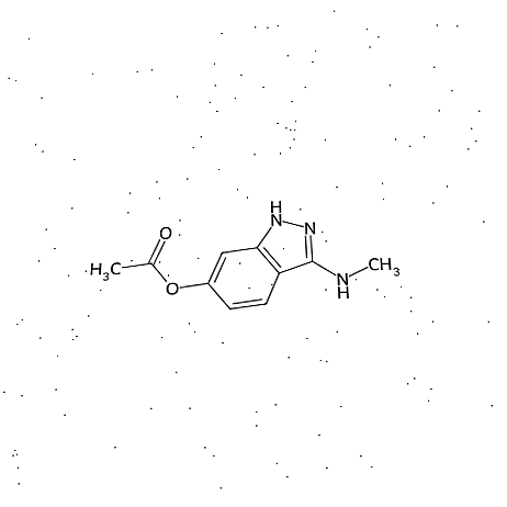 CNc1n[nH]c2cc(OC(C)=O)ccc12